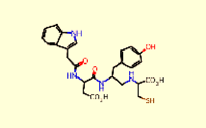 O=C(O)CC(NC(=O)Cc1c[nH]c2ccccc12)C(=O)NC(CNC(CS)C(=O)O)Cc1ccc(O)cc1